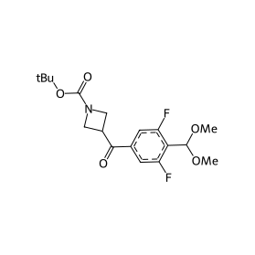 COC(OC)c1c(F)cc(C(=O)C2CN(C(=O)OC(C)(C)C)C2)cc1F